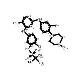 Cc1cnc(Nc2ccc(N3CCN(C)CC3)c(F)c2)nc1Nc1ccc(Cl)c(NS(=O)(=O)C(C)(C)C)c1